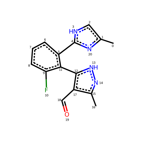 Cc1c[nH]c(-c2cccc(F)c2-c2[nH]nc(C)c2C=O)n1